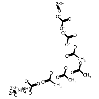 CC(=O)[O-].CC(=O)[O-].CC(=O)[O-].CC(=O)[O-].O=C([O-])[O-].O=C([O-])[O-].O=C([O-])[O-].[NH4+].[NH4+].[O]=[Zr+2].[O]=[Zr+2].[Zr+4]